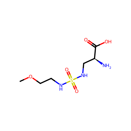 COCCNS(=O)(=O)NC[C@H](N)C(=O)O